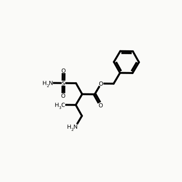 CC(CN)C(CS(N)(=O)=O)C(=O)OCc1ccccc1